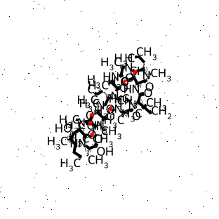 C=CC(C)(C)[C@@H](C(=O)N[C@H](C(=O)N(C)[C@@H](CC(C)C)C(=O)N[C@@H](C)C(=O)N[C@H](C)C(=O)N(C)[C@@H](CC(C)C)C(=O)N(C)[C@@H](CC(C)C)C(=O)N(C)[C@H](C(=O)N(C)[C@H](C(=O)N[C@@H](CC)C(=O)O)[C@H](O)[C@H](C)CCCC)C(C)C)C(C)C)N(C)C(=O)[C@@H](C)NC